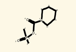 CP(C)(=O)OC(=O)N1CCCCC1